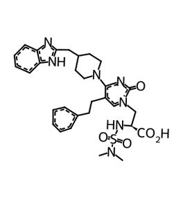 CN(C)S(=O)(=O)N[C@@H](Cn1cc(CCc2ccccc2)c(N2CCC(Cc3nc4ccccc4[nH]3)CC2)nc1=O)C(=O)O